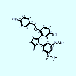 CNc1cc(C(=O)O)cc(-n2c(C)ccc2-c2cc(Cl)ccc2OCc2ccc(F)cc2)c1